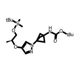 C[C@@H](CO[Si](C)(C)C(C)(C)C)Oc1cnn(C23CC(NC(=O)OC(C)(C)C)(C2)C3)c1